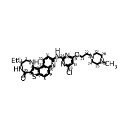 CC[C@@H]1CNc2c(sc3ccc4nc(Nc5nc(Cl)cc(OCCN6CCN(C)CC6)n5)ccc4c23)C(=O)N1